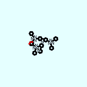 c1ccc(-c2nc(-c3ccccc3)nc(-c3ccc4c5ccc(-c6nc(-c7ccccc7)nc(-c7ccccc7)n6)cc5n(-c5ccc(-c6ccccn6)c(-c6nc(-c7ccccc7)nc(-c7ccccc7)n6)c5)c4c3)n2)cc1